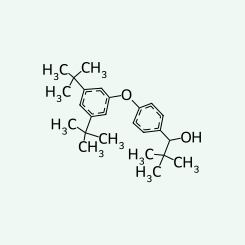 CC(C)(C)c1cc(Oc2ccc(C(O)C(C)(C)C)cc2)cc(C(C)(C)C)c1